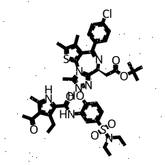 CCc1c(C(=O)Nc2cc(S(=O)(=O)N(CC)CC)ccc2O)[nH]c(C)c1C(C)=O.Cc1sc2c(c1C)C(c1ccc(Cl)cc1)=N[C@@H](CC(=O)OC(C)(C)C)c1nnc(C)n1-2